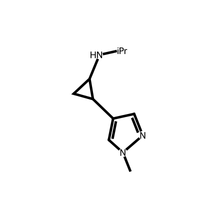 CC(C)NC1CC1c1cnn(C)c1